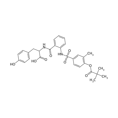 Cc1cc(S(=O)(=O)Nc2ccccc2C(=O)NC(Cc2ccc(O)cc2)C(=O)O)ccc1OC(=O)C(C)(C)C